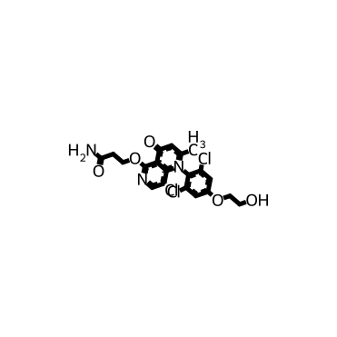 Cc1cc(=O)c2c(OCCC(N)=O)ncc(Cl)c2n1-c1c(Cl)cc(OCCO)cc1Cl